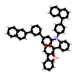 c1cc(-c2cccc(N(c3ccc(-c4cccc5ccccc45)cc3)c3ccccc3-c3cccc4c3oc3ccccc34)c2)cc(-c2ccc3ccccc3c2)c1